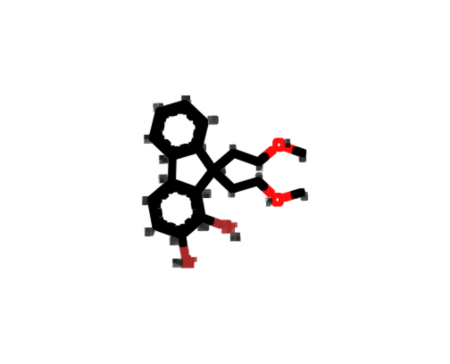 COCCC1(CCOC)c2ccccc2-c2ccc(Br)c(Br)c21